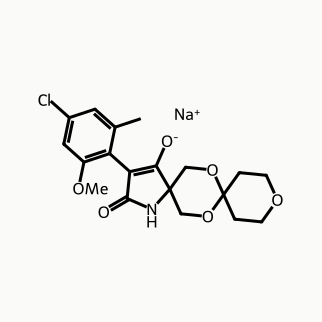 COc1cc(Cl)cc(C)c1C1=C([O-])C2(COC3(CCOCC3)OC2)NC1=O.[Na+]